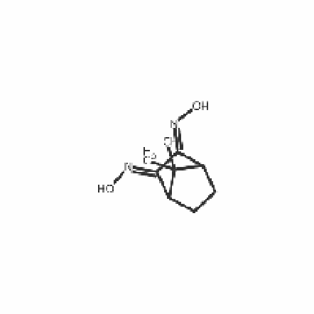 CC1(C)C2CCC1C(=NO)C2=NO